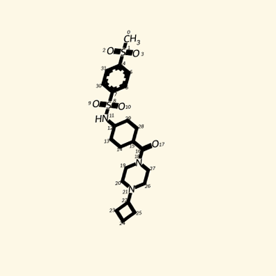 CS(=O)(=O)c1ccc(S(=O)(=O)NC2CCC(C(=O)N3CCN(C4CCC4)CC3)CC2)cc1